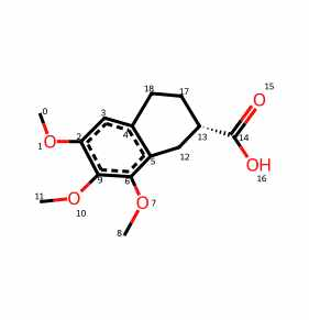 COc1cc2c(c(OC)c1OC)C[C@@H](C(=O)O)CC2